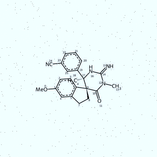 COc1ccc2c(c1)CC[C@@]21C(=O)N(C)C(=N)N[C@]1(C)c1cccc(C#N)c1